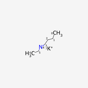 CCCC[N-]CC.[K+]